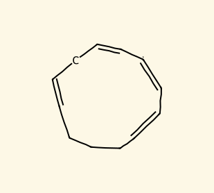 [C]1=CC=CCCCC=CCC=C1